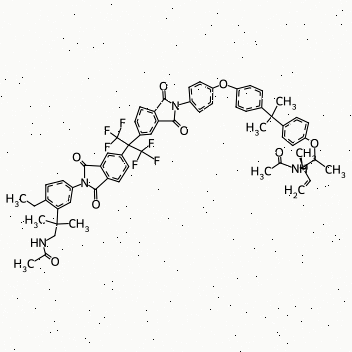 C=C[C@](C)(NC(C)=O)C(C)Oc1ccc(C(C)(C)c2ccc(Oc3ccc(N4C(=O)c5ccc(C(c6ccc7c(c6)C(=O)N(c6ccc(CC)c(C(C)(C)CNC(C)=O)c6)C7=O)(C(F)(F)F)C(F)(F)F)cc5C4=O)cc3)cc2)cc1